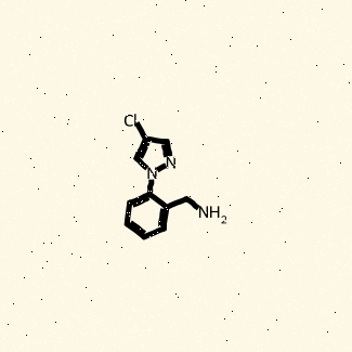 NCc1ccccc1-n1cc(Cl)cn1